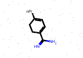 CCCC1=CC=C(C(=N)N)CC1